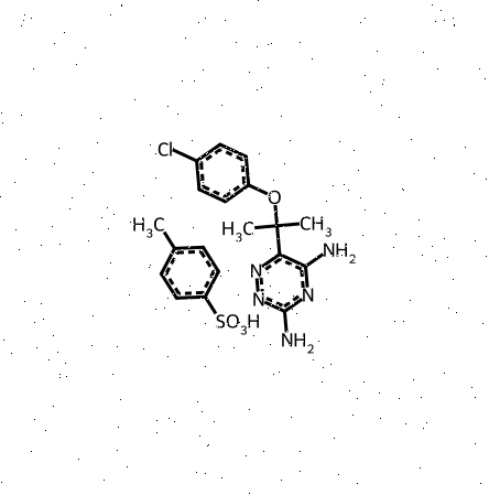 CC(C)(Oc1ccc(Cl)cc1)c1nnc(N)nc1N.Cc1ccc(S(=O)(=O)O)cc1